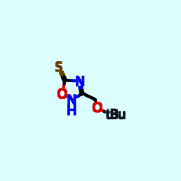 CC(C)(C)OCc1nc(=S)o[nH]1